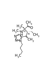 C=C(c1cnnn1CCCC)[C@@H](CC)[C@](C)(NC)C(C)=O